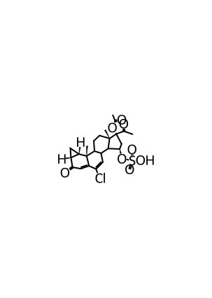 CC(=O)O[C@]1(C(C)=O)C[C@@H](OS(=O)(=O)O)C2C3C=C(Cl)C4=CC(=O)[C@@H]5C[C@@H]5[C@]4(C)C3CC[C@@]21C